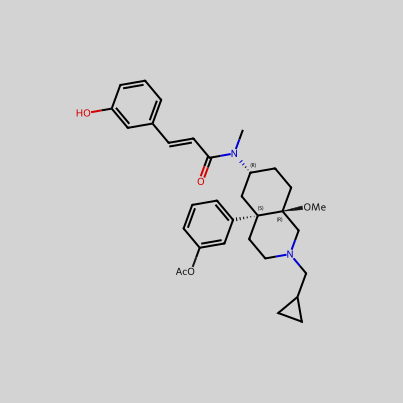 CO[C@]12CC[C@@H](N(C)C(=O)C=Cc3cccc(O)c3)C[C@]1(c1cccc(OC(C)=O)c1)CCN(CC1CC1)C2